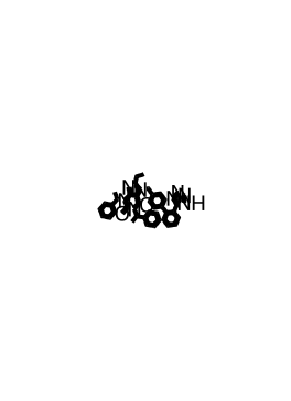 CCc1nc2c(c(=O)n(C(C)c3ccccc3)c(=O)n2C(C)c2ccccc2)n1Cc1ccc(-c2ccccc2-c2nnn[nH]2)cc1